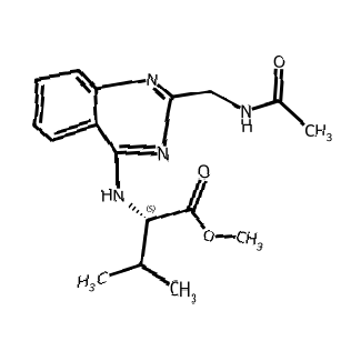 COC(=O)[C@@H](Nc1nc(CNC(C)=O)nc2ccccc12)C(C)C